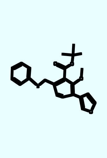 COc1c(-c2ccoc2)ccc(CSc2ccccc2)c1C(=O)OC(C)(C)C